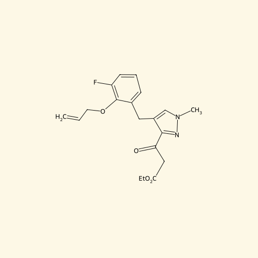 C=CCOc1c(F)cccc1Cc1cn(C)nc1C(=O)CC(=O)OCC